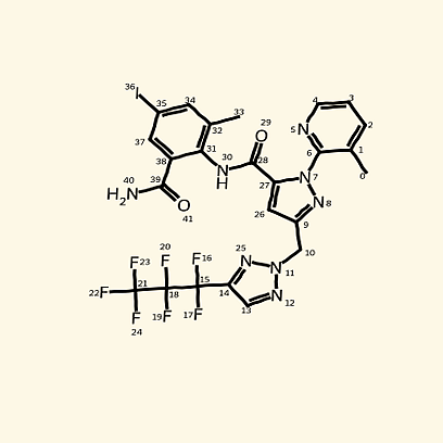 Cc1cccnc1-n1nc(Cn2ncc(C(F)(F)C(F)(F)C(F)(F)F)n2)cc1C(=O)Nc1c(C)cc(I)cc1C(N)=O